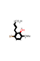 COc1ccc(Br)c(C/C=C/C(=O)O)c1O